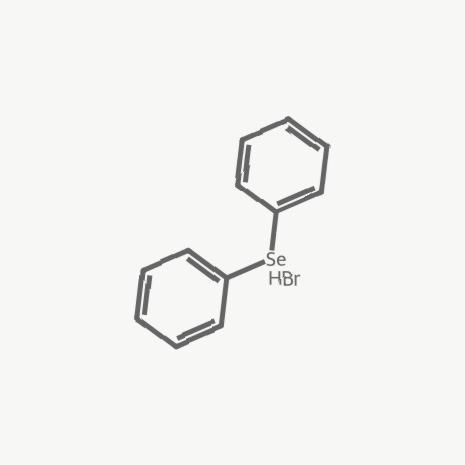 Br.c1ccc([Se]c2ccccc2)cc1